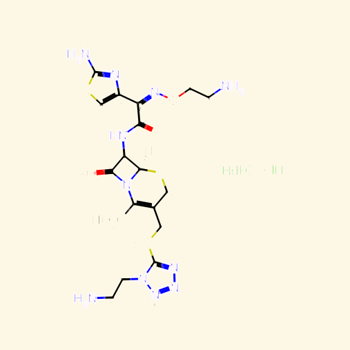 Cl.Cl.Cl.NCCO/N=C(\C(=O)NC1C(=O)N2C(C(=O)O)=C(CSc3nnnn3CCN)CS[C@H]12)c1csc(N)n1